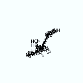 Cc1ncsc1-c1ccc([C@H](C)NC(=O)[C@@H]2C[C@@H](O)CN2C(=O)[C@@H](NC(=O)CCCCCCCNC(=O)c2ccc(N3CCNCC3)cn2)C(C)(C)C)cc1.Cl